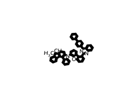 CC1(C)c2ccccc2-c2c1ccc1c2c2ccccc2n1-c1cccc2c1oc1cccc(-c3nc(C4=CCC(c5ccccc5)C=C4)c4ccccc4n3)c12